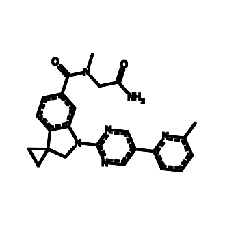 Cc1cccc(-c2cnc(N3CC4(CC4)c4ccc(C(=O)N(C)CC(N)=O)cc43)nc2)n1